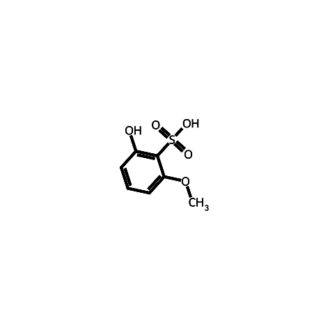 COc1cccc(O)c1S(=O)(=O)O